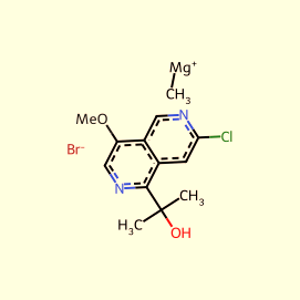 COc1cnc(C(C)(C)O)c2cc(Cl)ncc12.[Br-].[CH3][Mg+]